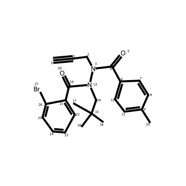 C#CCN(C(=O)c1ccc(C)cc1)N(CC(C)(C)C)C(=O)c1ccccc1Br